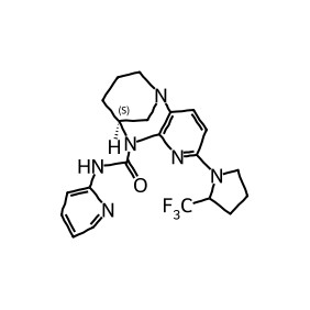 O=C(Nc1ccccn1)N1c2nc(N3CCCC3C(F)(F)F)ccc2N2CCC[C@H]1C2